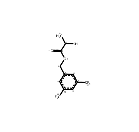 CC(S)C(=O)OCc1cc(C(F)(F)F)cc(C(F)(F)F)c1